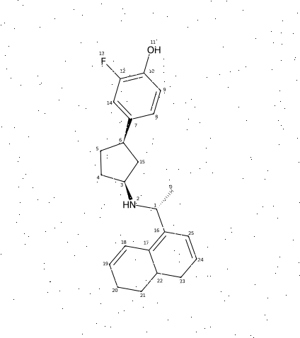 C[C@@H](N[C@H]1CC[C@@H](c2ccc(O)c(F)c2)C1)C1=C2C=CCCC2CC=C1